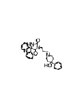 O=C1NC(c2ccccc2)(c2ccccn2)C(=O)N1CCCN1CCC(O)(c2ccccc2)CC1